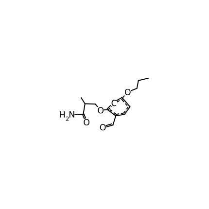 CCCOc1ccc(C=O)c(OCC(C)C(N)=O)c1